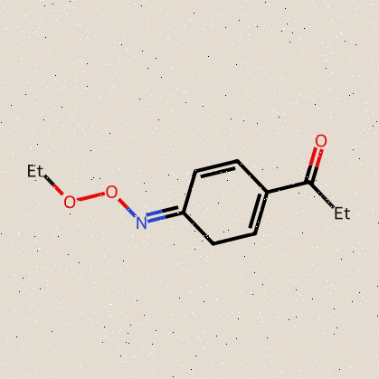 CCOON=C1C=CC(C(=O)CC)=CC1